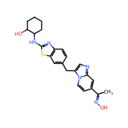 C/C(=N\O)c1ccn2c(Cc3ccc4nc(NC5CCCCC5O)sc4c3)cnc2c1